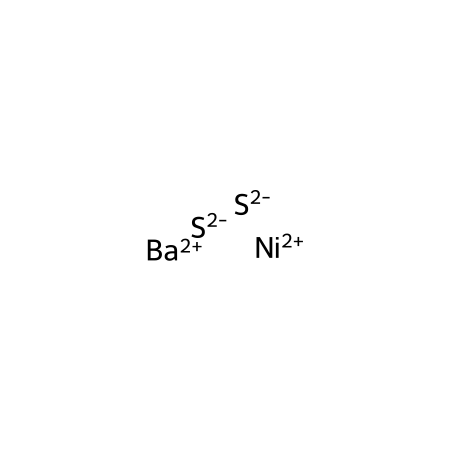 [Ba+2].[Ni+2].[S-2].[S-2]